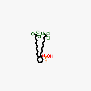 OPOC1(CCCCCCCC(Cl)(Cl)Cl)CCCCC1CCCCCCCC(Cl)(Cl)Cl